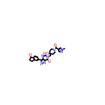 Cn1cc(C(=O)N2CCC(O)(Cn3cnc4c(-c5ccc6c(c5)CCC6=O)n(C)nc4c3=O)CC2)cn1